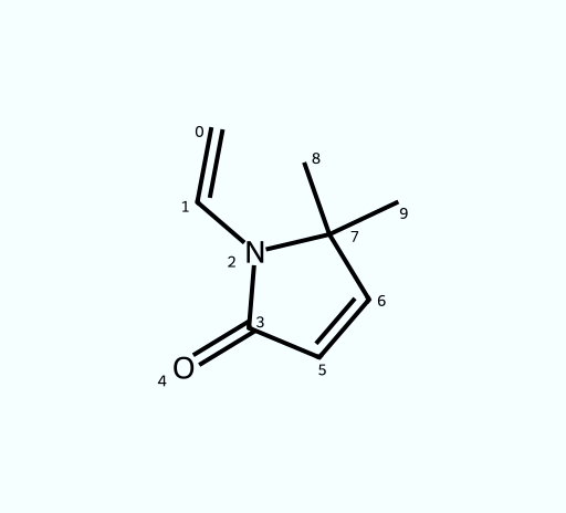 C=CN1C(=O)C=CC1(C)C